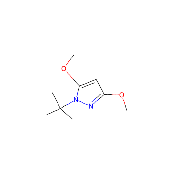 COc1cc(OC)n(C(C)(C)C)n1